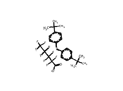 CC(C)(C)c1ccc([I+]c2ccc(C(C)(C)C)cc2)cc1.O=C([O-])C(F)(F)C(F)(F)C(F)(F)C(F)(F)F